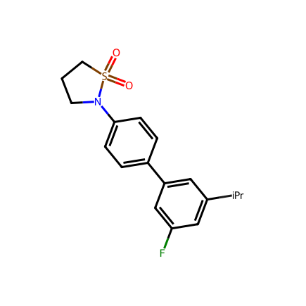 CC(C)c1cc(F)cc(-c2ccc(N3CCCS3(=O)=O)cc2)c1